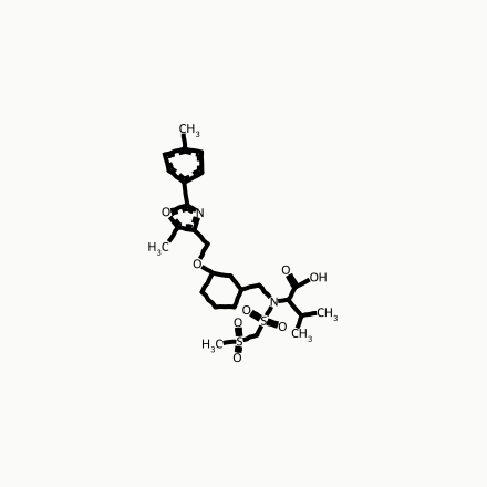 Cc1ccc(-c2nc(COC3CCCC(CN(C(C(=O)O)C(C)C)S(=O)(=O)CS(C)(=O)=O)C3)c(C)o2)cc1